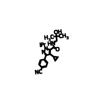 CC(C)n1nc(-c2ccc(C#N)cc2)c(C2CC2)c1C(=O)NCC(C)(C)O